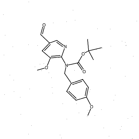 COc1ccc(CN(C(=O)OC(C)(C)C)c2ncc(C=O)cc2OC)cc1